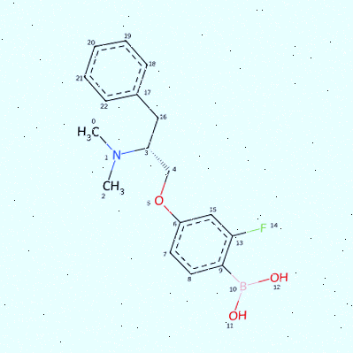 CN(C)[C@@H](COc1ccc(B(O)O)c(F)c1)Cc1ccccc1